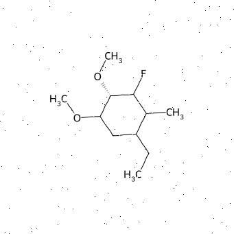 CCC1CC(OC)[C@H](OC)C(F)C1C